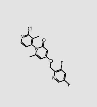 Cc1c(-n2c(C)cc(OCc3ncc(F)cc3F)cc2=O)ccnc1Cl